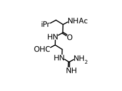 CC(=O)NC(CC(C)C)C(=O)NC(C=O)CNC(=N)N